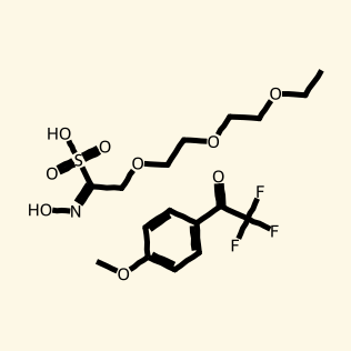 CCOCCOCCOCC(=NO)S(=O)(=O)O.COc1ccc(C(=O)C(F)(F)F)cc1